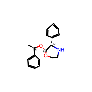 C[C@@H](O[C@H]1OCCN[C@H]1c1ccccc1)c1ccccc1